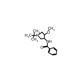 COC1CN(C(C)(C)C)CC1NC(=O)c1ccccc1